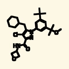 COC(C)(C)c1cc(-n2nc(C(=O)NC3COC3)c(Cl)c2CC2CCCCC2)cc(C(C)(C)C)c1